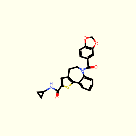 O=C(NC1CC1)c1cc2c(s1)-c1ccccc1N(C(=O)c1ccc3c(c1)OCO3)CC2